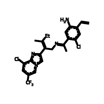 C=Cc1cc(Cl)c(/C(C)=N/C/C(=C(/C)CC)c2cn3cc(C(F)(F)F)cc(Cl)c3n2)cc1N